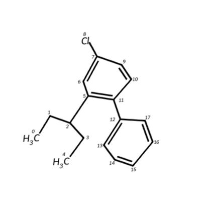 CCC(CC)c1cc(Cl)ccc1-c1ccccc1